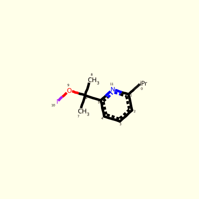 CC(C)c1cccc(C(C)(C)OI)n1